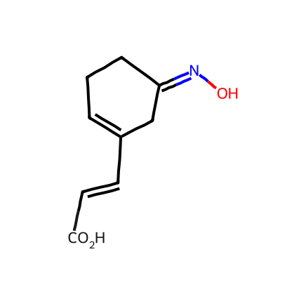 O=C(O)/C=C/C1=CCC/C(=N/O)C1